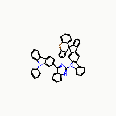 c1ccc(-n2c3ccccc3c3ccc(-c4nc(-n5c6ccccc6c6cc7c(cc65)C5(c6ccccc6Sc6ccccc65)c5ccccc5-7)nc5ccccc45)cc32)cc1